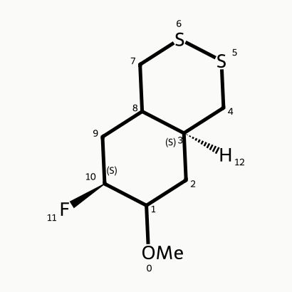 COC1C[C@@H]2CSSCC2C[C@@H]1F